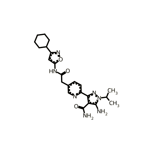 CC(C)n1nc(-c2ccc(CC(=O)Nc3cc(C4CCCCC4)no3)cn2)c(C(N)=O)c1N